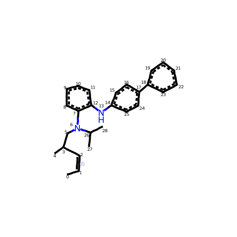 C/C=C\C(C)CN(c1ccccc1Nc1ccc(-c2ccccc2)cc1)C(C)C